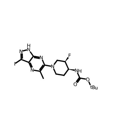 Cc1nc2c(I)n[nH]c2nc1N1CC[C@H](NC(=O)OC(C)(C)C)[C@H](F)C1